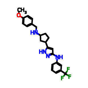 COc1ccc(CNC2CCC(c3cc(Nc4cccc(C(F)(F)F)c4)n[nH]3)C2)cc1